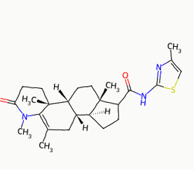 CC1=C2N(C)C(=O)CC[C@]2(C)[C@@H]2CC[C@]3(C)C(C(=O)Nc4nc(C)cs4)CC[C@H]3[C@@H]2C1